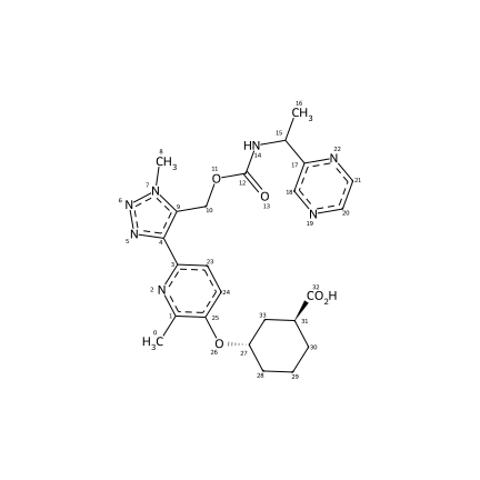 Cc1nc(-c2nnn(C)c2COC(=O)NC(C)c2cnccn2)ccc1O[C@H]1CCC[C@H](C(=O)O)C1